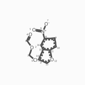 CCOC=O.O=[N+]([O-])c1ccc2occc2c1